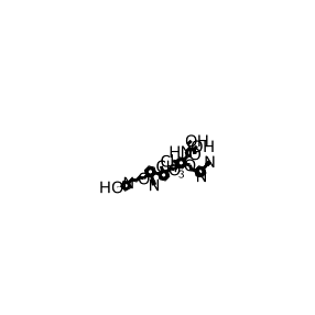 Cc1c(COc2cc(OCc3cncc(C#N)c3)c(CN[C@@H](CO)C(=O)O)cc2Cl)cccc1-c1cccc(OCCCN2CC[C@H](O)C2)c1C#N